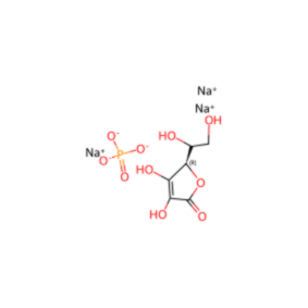 O=C1O[C@H](C(O)CO)C(O)=C1O.O=P([O-])([O-])[O-].[Na+].[Na+].[Na+]